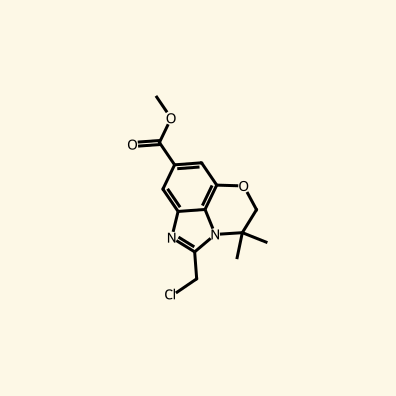 COC(=O)c1cc2c3c(c1)nc(CCl)n3C(C)(C)CO2